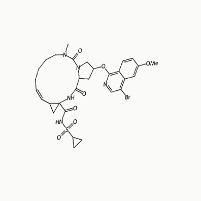 COc1ccc2c(OC3CC4C(=O)NC5(C(=O)NS(=O)(=O)C6CC6)CC5C=CCCCCN(C)C(=O)N4C3)ncc(Br)c2c1